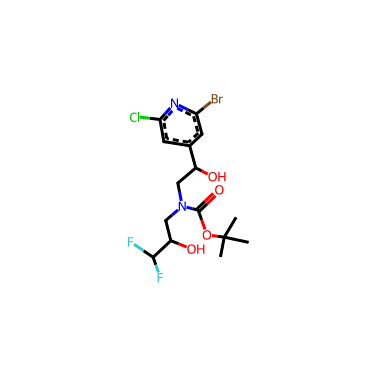 CC(C)(C)OC(=O)N(CC(O)c1cc(Cl)nc(Br)c1)CC(O)C(F)F